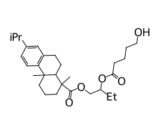 CCC(COC(=O)C1(C)CCCC2(C)c3ccc(C(C)C)cc3CCC12)OC(=O)CCCCO